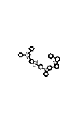 C1=CC(n2c3ccccc3c3cc(-c4cccc5c4sc4c(-c6ccccc6)cccc45)ccc32)CC=C1c1nc2cc(-c3nc(-c4ccccc4)nc(-c4ccccc4)n3)ccc2o1